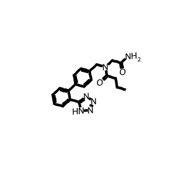 CCCC(=O)N(CC(N)=O)Cc1ccc(-c2ccccc2-c2nnn[nH]2)cc1